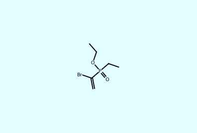 C=C(Br)P(=O)(CC)OCC